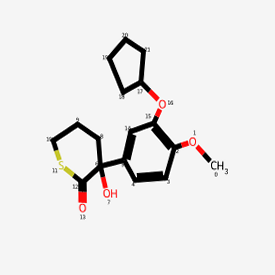 COc1ccc(C2(O)CCCSC2=O)cc1OC1CCCC1